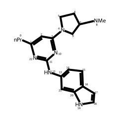 CCCc1cc(N2CCC(NC)C2)nc(Nc2ccc3cc[nH]c3c2)n1